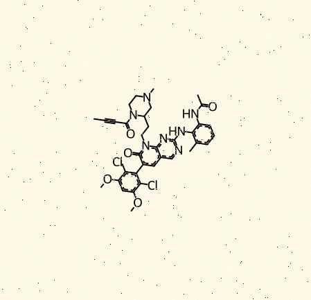 CC#CC(=O)N1CCN(C)CC1CCn1c(=O)c(-c2c(Cl)c(OC)cc(OC)c2Cl)cc2cnc(Nc3c(C)cccc3NC(C)=O)nc21